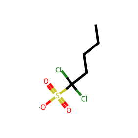 CCCCC(Cl)(Cl)S([O])(=O)=O